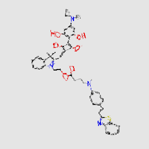 CCN(CC)c1cc(O)c(C2=C([O-])/C(=C/C3=[N+](CCOC(=O)CCCN(C)c4ccc(/C=C/c5nc6ccccc6s5)cc4)c4ccccc4C3(C)C)C2=O)c(O)c1